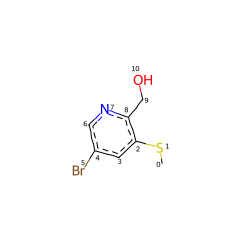 CSc1cc(Br)cnc1CO